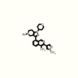 CC(=O)N1CCc2c(c(-c3cccc4c(C)c(-c5cnn(C)c5)ncc34)nn2C2CCOCC2)C1